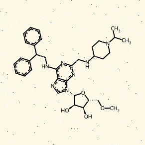 COC[C@H]1O[C@@H](n2cnc3c(NCC(c4ccccc4)c4ccccc4)nc(CNC4CCN(C(C)C)CC4)nc32)[C@H](O)[C@@H]1O